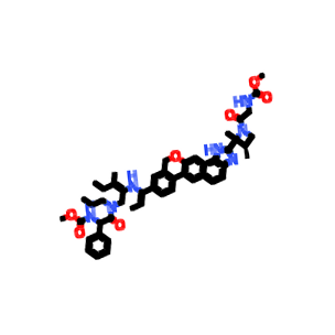 C/C=C(\N/C(CN(CCC)C(=O)C(NC(=O)OC)c1ccccc1)=C(\C)CC)c1ccc2c(c1)COc1cc3c(ccc4nc(C5(C)[C@H](C)CN5C(=O)CNC(=O)OC)[nH]c43)cc1-2